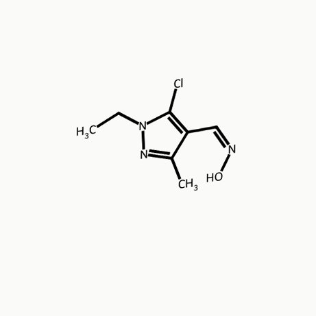 CCn1nc(C)c(/C=N\O)c1Cl